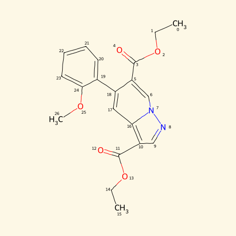 CCOC(=O)c1cn2ncc(C(=O)OCC)c2cc1-c1ccccc1OC